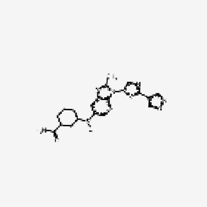 Cc1nc2cc([S+]([O-])C3CCCC(C(N)=O)C3)cnc2n1-c1cnc(-c2cnoc2)s1